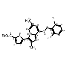 CCOC(=O)c1ncc(-c2c(C)nc3c(OCc4c(F)cccc4F)cc(C)cn23)s1